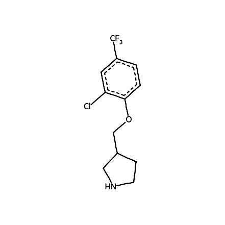 FC(F)(F)c1ccc(OCC2CCNC2)c(Cl)c1